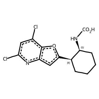 O=C(O)N[C@H]1CCCC[C@H]1c1cc2nc(Cl)cc(Cl)c2o1